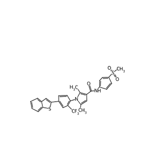 Cc1cc(C(=O)Nc2ccc(S(C)(=O)=O)cc2)c(C)n1-c1ccc(-c2cc3ccccc3s2)cc1C(F)(F)F